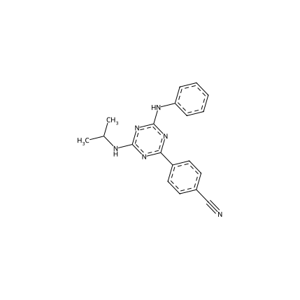 CC(C)Nc1nc(Nc2ccccc2)nc(-c2ccc(C#N)cc2)n1